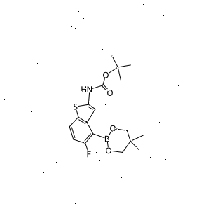 CC1(C)COB(c2c(F)ccc3sc(NC(=O)OC(C)(C)C)cc23)OC1